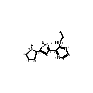 CCNc1nccnc1-c1cc(C2CCCN2)on1